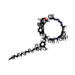 CCOCCOCCOCCOCCNC(=O)O[C@@H]1CC[C@@H](C[C@@H](C)[C@@H]2C[C@@H](O)[C@H](C)/C=C(\C)[C@@H](O)[C@@H](O)C(=O)[C@H](C)C[C@H](C)/C=C/C=C/C=C(\C)[C@@H](OC)C[C@@H]3CC[C@@H](C)C(=O)C(O)(O3)C(=O)N3CCCC[C@H]3C(=O)O2)C[C@H]1OC